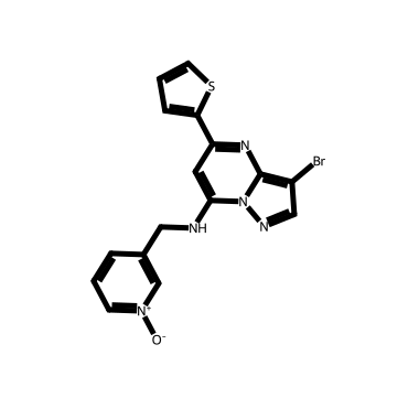 [O-][n+]1cccc(CNc2cc(-c3cccs3)nc3c(Br)cnn23)c1